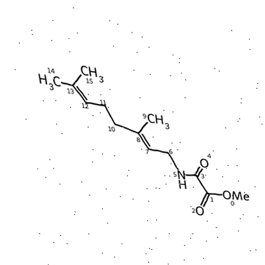 COC(=O)C(=O)NC/C=C(\C)CCC=C(C)C